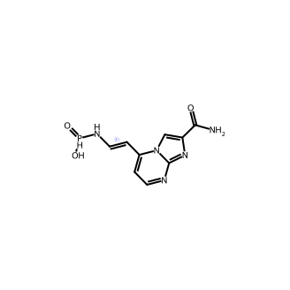 NC(=O)c1cn2c(/C=C/N[PH](=O)O)ccnc2n1